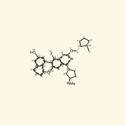 CNC1CCN(c2nc(OC[C@@H]3CCCN3C)nc3c(F)c(-c4cc(O)cc5cccc(Cl)c45)c(Cl)cc23)C1